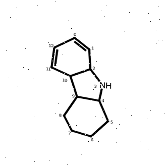 C1=CC2NC3CCCCC3C2C=C1